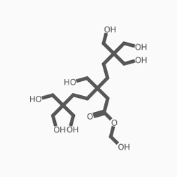 O=C(CC(CO)(CCC(CO)(CO)CO)CCC(CO)(CO)CO)OCO